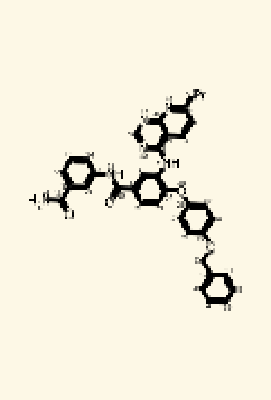 CC(C)c1ccc2c(Nc3cc(C(=O)Nc4cccc(C(N)=O)c4)ccc3Oc3ccc(OCc4ccccc4)cc3)ncnc2n1